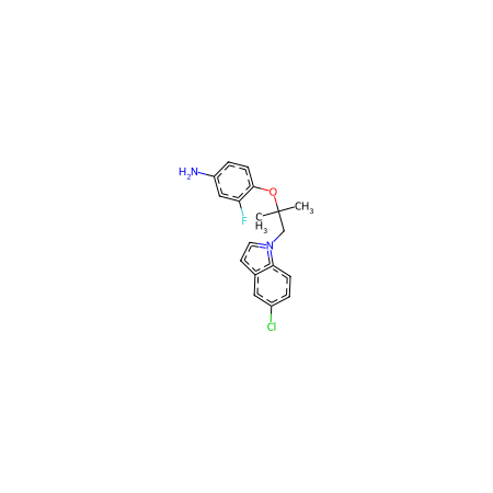 CC(C)(Cn1ccc2cc(Cl)ccc21)Oc1ccc(N)cc1F